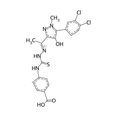 C/C(=N\NC(=S)Nc1ccc(C(=O)O)cc1)c1nn(C)c(-c2ccc(Cl)c(Cl)c2)c1O